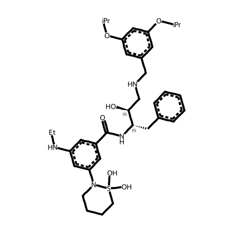 CCNc1cc(C(=O)N[C@@H](Cc2ccccc2)[C@@H](O)CNCc2cc(OC(C)C)cc(OC(C)C)c2)cc(N2CCCCS2(O)O)c1